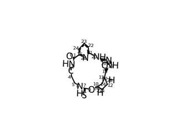 O=C1NCCCNC(=S)O[C@@H]2CC[C@@H](C2)c2cc(n[nH]2)Nc2cccc1n2